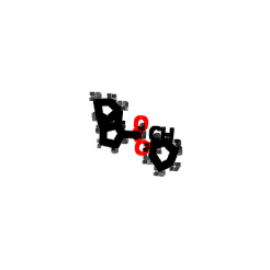 CC1(OC(=O)C2CCC3C4CCC(C4)C23)CCCCC1